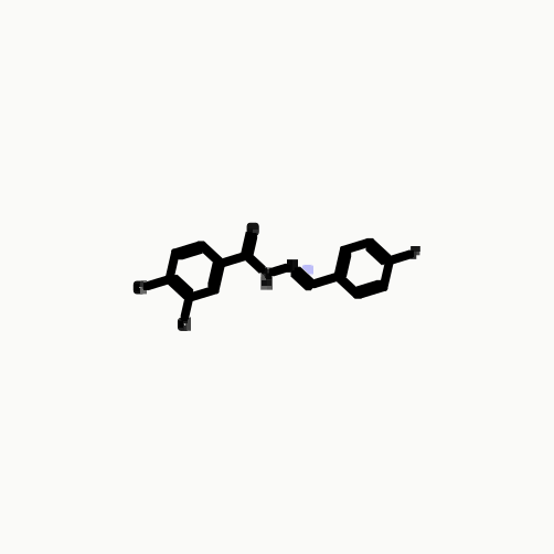 O=C(N/N=C/c1ccc(F)cc1)c1ccc(Cl)c(Cl)c1